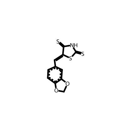 S=C1NC(=S)C(=Cc2ccc3c(c2)OCO3)S1